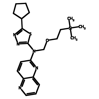 C[Si](C)(C)CCOCN(c1ccc2ncccc2n1)c1nnc(C2CCCC2)s1